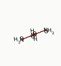 NC(=O)CCCCCCCCCCCCCCCCC(=O)NCCNC(=O)CCCCCCCCCCCCCCCCC(N)=O